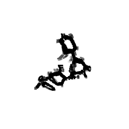 Cn1c(N[C@@H]2CN(S(C)(=O)=O)C[C@H]2F)nc(-c2ccncc2)cc1=O